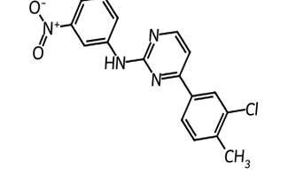 Cc1ccc(-c2ccnc(Nc3cccc([N+](=O)[O-])c3)n2)cc1Cl